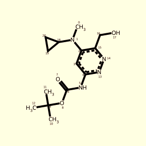 CN(c1cc(NC(=O)OC(C)(C)C)nnc1CO)C1CC1